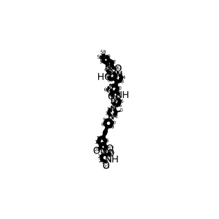 C[C@H]1CN(C2CCC(C#Cc3ccc4c(c3)C(=O)N(C3CCC(=O)NC3=O)C4=O)CC2)CCN1c1ccc(Nc2cc(-c3ccnc(N4CCn5c(cc6c5CC(C)(C)C6)C4=O)c3CO)cn(C)c2=O)nc1